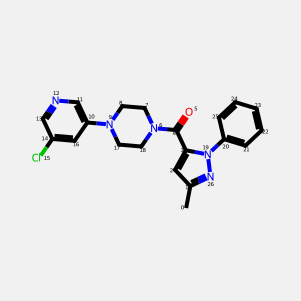 Cc1cc(C(=O)N2CCN(c3cncc(Cl)c3)CC2)n(-c2ccccc2)n1